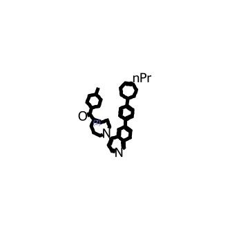 CCCC1=CCCC(c2ccc(C3=CCC4=CN=CC=C(N5CC/C=C(\C(=O)C6CCC(C)CC6)CCC5)C4=C3)cc2)CC1